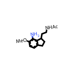 COc1ccc2c(c1N)C(CCNC(C)=O)CC2